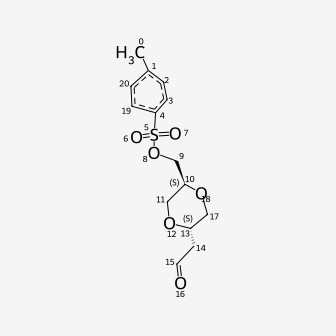 Cc1ccc(S(=O)(=O)OC[C@@H]2CO[C@@H](CC=O)CO2)cc1